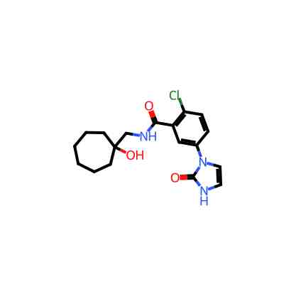 O=C(NCC1(O)CCCCCC1)c1cc(-n2cc[nH]c2=O)ccc1Cl